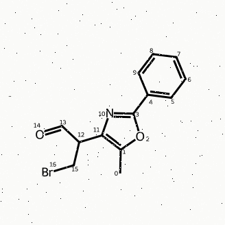 Cc1oc(-c2ccccc2)nc1C(C=O)CBr